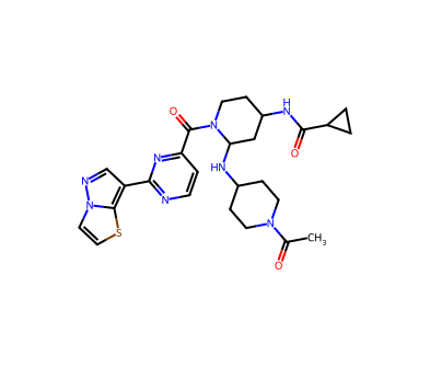 CC(=O)N1CCC(NC2CC(NC(=O)C3CC3)CCN2C(=O)c2ccnc(-c3cnn4ccsc34)n2)CC1